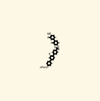 CCCCCc1ccc(-c2ccc(-c3ccc(C(F)(F)Oc4ccc(-c5ccc(C#N)c(F)c5)c(F)c4)cc3)c(F)c2)cc1